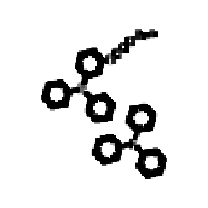 [Cl-].[Cl-].[Cl-].[Cl-].[Re+4].c1ccc(P(c2ccccc2)c2ccccc2)cc1.c1ccc(P(c2ccccc2)c2ccccc2)cc1